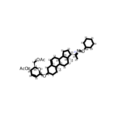 CC(=O)OC[C@H]1OC(OC2CC[C@@]3(C)C(=CCC4C3CC[C@@]3(C)C4CC[C@@H]3/C(C)=N/OC3CCCCC3)C2)C=C[C@@H]1OC(C)=O